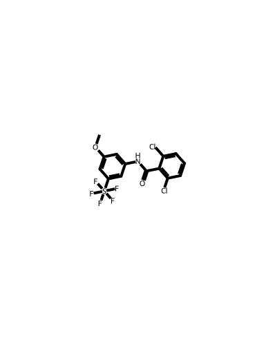 COc1cc(NC(=O)c2c(Cl)cccc2Cl)cc(S(F)(F)(F)(F)F)c1